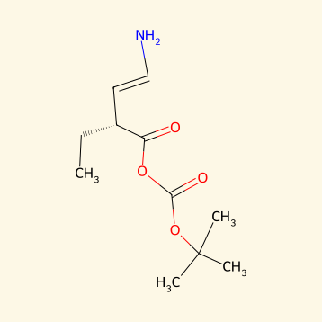 CC[C@H](C=CN)C(=O)OC(=O)OC(C)(C)C